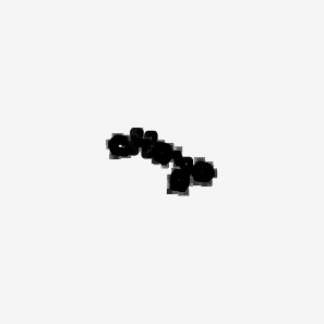 O=C(Oc1ccc(CCOC(c2ccccc2)c2ccccc2)cc1)C(=O)ON1CCCCC1